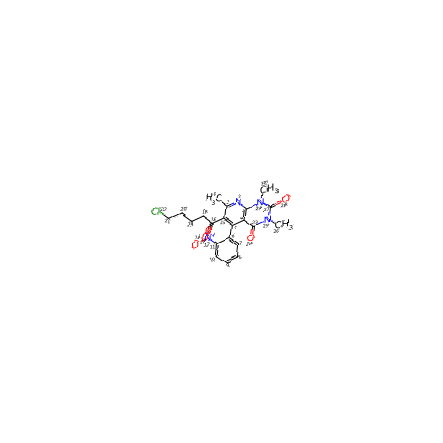 Cc1nc2c(c(-c3ccccc3[N+](=O)[O-])c1C(=O)CCCCCl)c(=O)n(C)c(=O)n2C